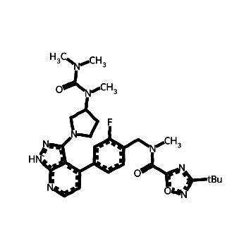 CN(C)C(=O)N(C)C1CCN(c2n[nH]c3nccc(-c4ccc(CN(C)C(=O)c5nc(C(C)(C)C)no5)c(F)c4)c23)C1